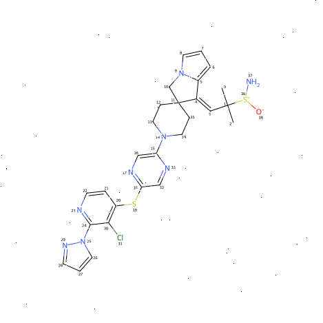 CC(C)(C=C1c2cccn2CC12CCN(c1cnc(Sc3ccnc(-n4cccn4)c3Cl)cn1)CC2)[S+](N)[O-]